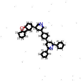 c1ccc(-c2cc(-c3ccc(-c4cncc(-c5ccc6oc7ccccc7c6c5)c4)cc3)cc(-c3ccccc3)n2)cc1